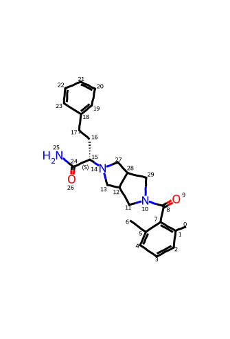 Cc1cccc(C)c1C(=O)N1CC2CN([C@@H](C[CH]c3ccccc3)C(N)=O)CC2C1